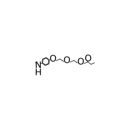 CCC(=O)COCCCOCCCOc1ccc(NC)cc1